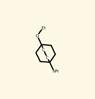 CCCC12CCC(OCC)(CC1)CC2